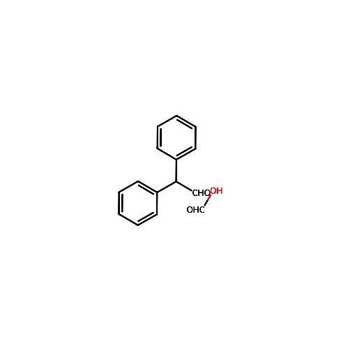 O=CC(c1ccccc1)c1ccccc1.O=CO